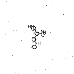 c1cc(-c2cc(-c3nnco3)cc(N3CCNCC3)n2)cc(NC2CCCCC2)n1